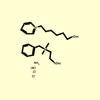 CCCCCCCCCCCCCCCC[n+]1ccccc1.CCCCCCCCCCCC[N+](C)(C)Cc1ccccc1.Cl.N.[Cl-].[Cl-]